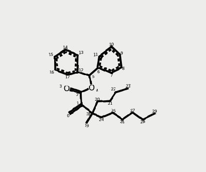 C=C(C(=O)OC(c1ccccc1)c1ccccc1)C(C)(CCCC)CCCCCC